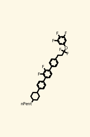 CCCCCC1CCC(c2ccc(-c3ccc(-c4ccc(CCC(F)(F)Oc5cc(F)c(F)c(F)c5)cc4)c(F)c3F)cc2)CC1